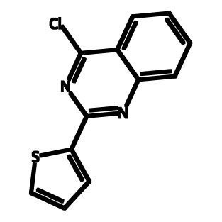 Clc1nc(-c2cccs2)nc2ccccc12